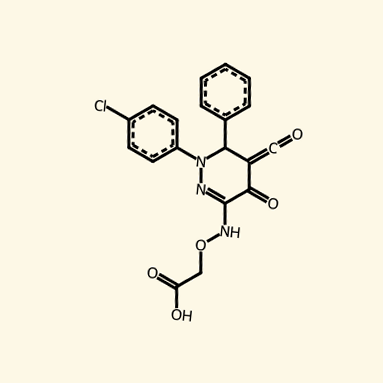 O=C=C1C(=O)C(NOCC(=O)O)=NN(c2ccc(Cl)cc2)C1c1ccccc1